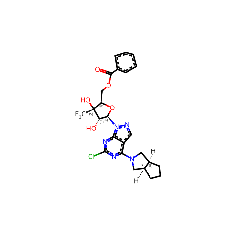 O=C(OC[C@H]1O[C@@H](n2ncc3c(N4C[C@H]5CCC[C@H]5C4)nc(Cl)nc32)[C@H](O)[C@@]1(O)C(F)(F)F)c1ccccc1